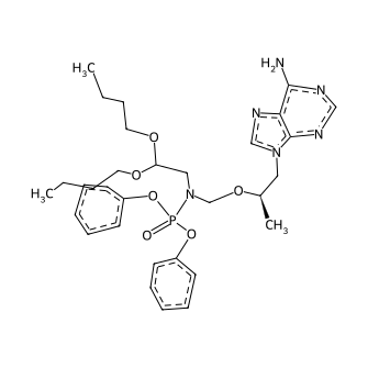 CCCCOC(CN(CO[C@H](C)Cn1cnc2c(N)ncnc21)P(=O)(Oc1ccccc1)Oc1ccccc1)OCCCC